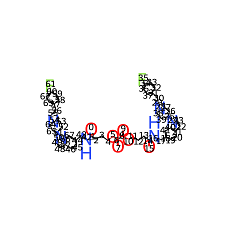 O=C(CCCOC(=O)C(=O)OCCCC(=O)NCc1ccc2ccn(C3CCN(CCc4ccc(F)cc4)CC3)c2c1)NCc1ccc2ccn(C3CCN(CCc4ccc(F)cc4)CC3)c2c1